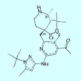 CC(=O)c1cc(Nc2cc(C)n(C(C)(C)C)n2)nc(C[C@@]2(C(=O)OC(C)(C)C)CCN[C@H](C)C2)c1F